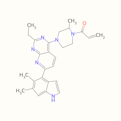 C=CC(=O)N1CCN(c2nc(CC)nc3nc(-c4c(C)c(C)cc5[nH]ccc45)ccc23)CC1C